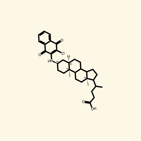 CC(CCC(=O)O)C1CCC2C3CC[C@@H]4C[C@H](NC5=C(Cl)C(=O)c6ccccc6C5=O)CC[C@]4(C)C3CC[C@]12C